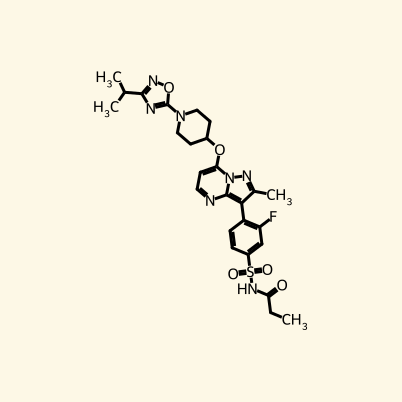 CCC(=O)NS(=O)(=O)c1ccc(-c2c(C)nn3c(OC4CCN(c5nc(C(C)C)no5)CC4)ccnc23)c(F)c1